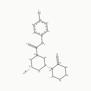 O=C(Oc1ccc(Cl)cc1)N1C[C@@H](F)C[C@@H](N2CCCCC2=O)C1